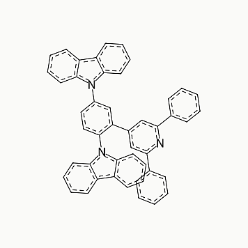 c1ccc(-c2cc(-c3cc(-n4c5ccccc5c5ccccc54)ccc3-n3c4ccccc4c4ccccc43)cc(-c3ccccc3)n2)cc1